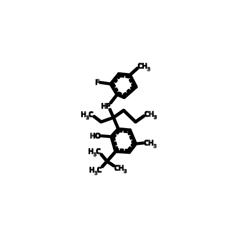 CCCC(CC)(Pc1ccc(C)cc1F)c1cc(C)cc(C(C)(C)C)c1O